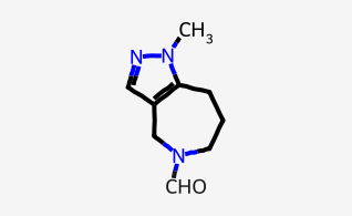 Cn1ncc2c1CCCN(C=O)C2